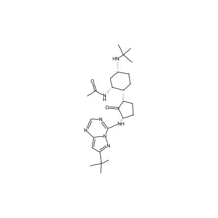 CC(=O)N[C@@H]1C[C@H](NC(C)(C)C)CC[C@@H]1C1CC[C@H](Nc2ncnc3cc(C(C)(C)C)nn23)C1=O